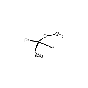 CCC(CC)(O[SiH3])C(C)(C)C